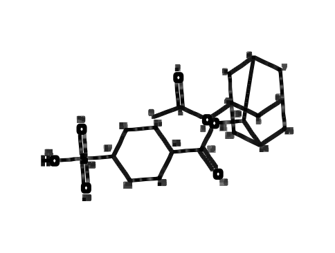 CC(=O)OC12CC3CC(C1)C(OC(=O)C1CCC(S(=O)(=O)O)CC1)C(C3)C2